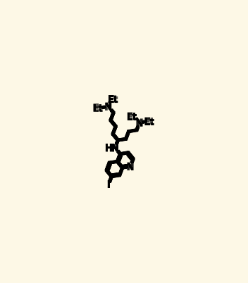 CCN(CC)CCCCC(CCCN(CC)CC)Nc1ccnc2cc(I)ccc12